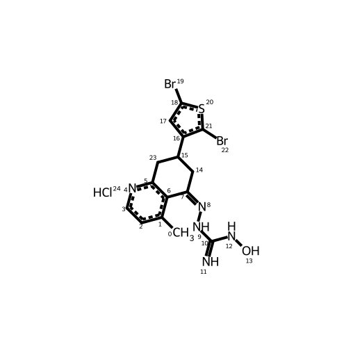 Cc1ccnc2c1/C(=N\NC(=N)NO)CC(c1cc(Br)sc1Br)C2.Cl